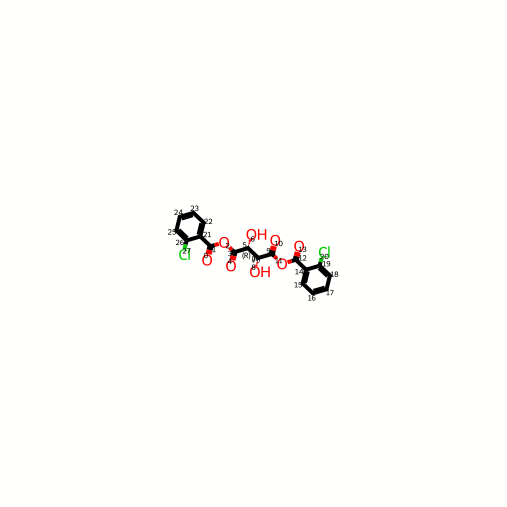 O=C(OC(=O)[C@H](O)[C@@H](O)C(=O)OC(=O)c1ccccc1Cl)c1ccccc1Cl